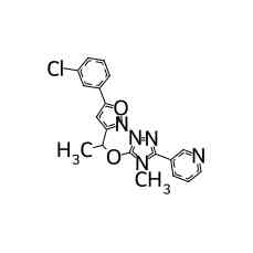 CC(Oc1nnc(-c2cccnc2)n1C)c1cc(-c2cccc(Cl)c2)on1